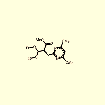 CCOC(OCC)C(Sc1nc(OC)cc(OC)n1)C(=O)OC